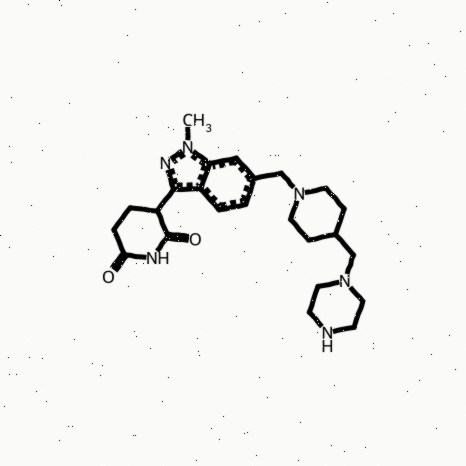 Cn1nc(C2CCC(=O)NC2=O)c2ccc(CN3CCC(CN4CCNCC4)CC3)cc21